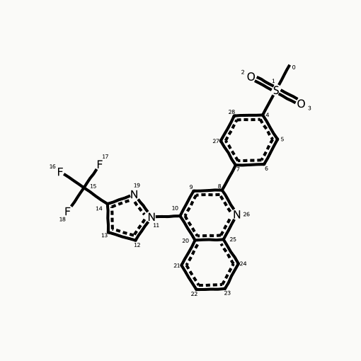 CS(=O)(=O)c1ccc(-c2cc(-n3ccc(C(F)(F)F)n3)c3ccccc3n2)cc1